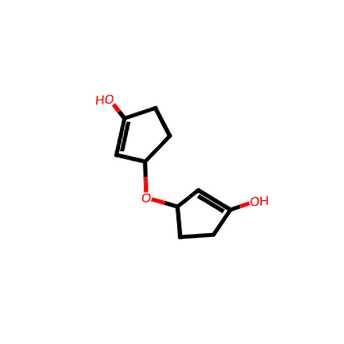 OC1=CC(OC2C=C(O)CC2)CC1